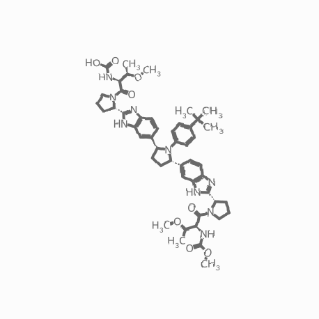 COC(=O)N[C@H](C(=O)N1CCC[C@H]1c1nc2ccc([C@@H]3CC[C@@H](c4ccc5nc([C@@H]6CCCN6C(=O)[C@@H](NC(=O)O)[C@@H](C)OC)[nH]c5c4)N3c3ccc(C(C)(C)C)cc3)cc2[nH]1)C(C)OC